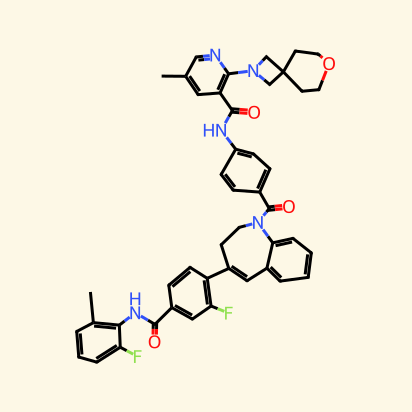 Cc1cnc(N2CC3(CCOCC3)C2)c(C(=O)Nc2ccc(C(=O)N3CCC(c4ccc(C(=O)Nc5c(C)cccc5F)cc4F)=Cc4ccccc43)cc2)c1